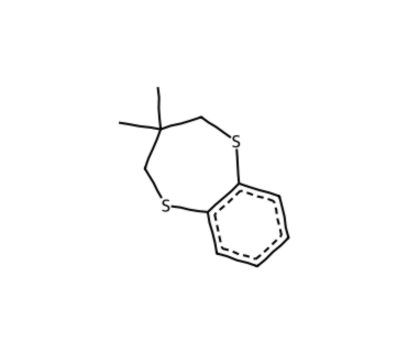 CC1(C)CSc2ccccc2SC1